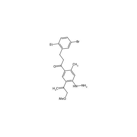 C=C(COC)c1cc(C(=O)CCc2cc(Br)ccc2CC)c(C)cc1NN